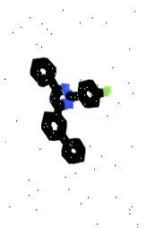 Fc1ccc(-c2nc(-c3ccccc3)cc(-c3cccc(-c4ccccc4)c3)n2)cc1